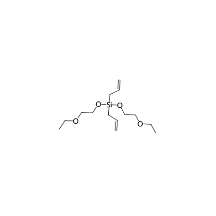 C=CC[Si](CC=C)(OCCOCC)OCCOCC